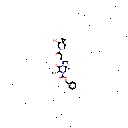 C[C@H]1C(=O)N2[C@@H](CCC(=O)N3CCC4(CC4)C(O)C3)CO[C@@H]2CN1C(=O)OCc1ccccc1